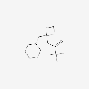 CC(C)(C)C(=O)CC1(CN2CCCCC2)CCC1